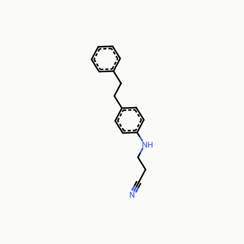 N#CCCNc1ccc(CCc2ccccc2)cc1